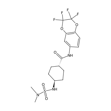 CN(C)S(=O)(=O)N[C@H]1CC[C@H](C(=O)Nc2ccc3c(c2)OC(F)(F)C(F)(F)O3)CC1